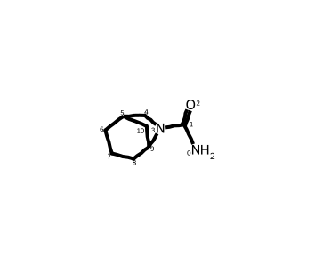 NC(=O)N1CC2CCCC1C2